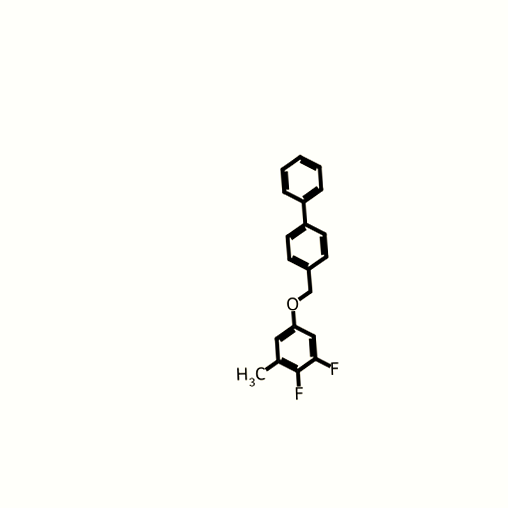 Cc1cc(OCc2ccc(-c3ccccc3)cc2)cc(F)c1F